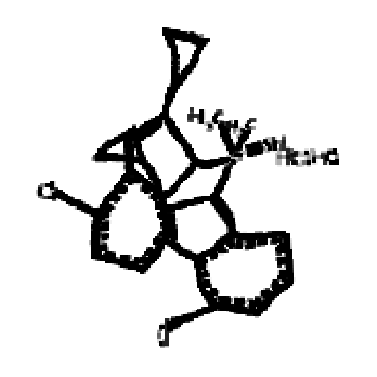 Cl.Cl.[CH3][Zr]([CH3])(=[SiH2])([CH]1C(C2CC2)=Cc2c(Cl)cccc21)[CH]1C(C2CC2)=Cc2c(Cl)cccc21